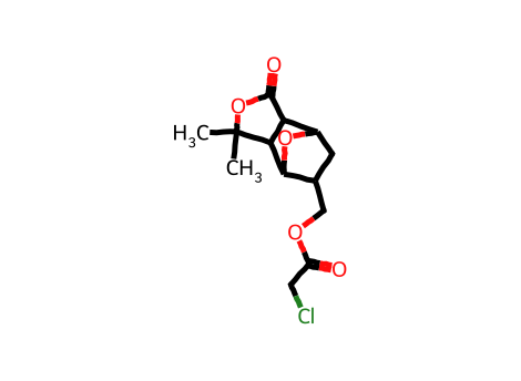 CC1(C)OC(=O)C2C3CC(COC(=O)CCl)C(O3)C21